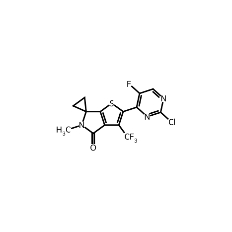 CN1C(=O)c2c(sc(-c3nc(Cl)ncc3F)c2C(F)(F)F)C12CC2